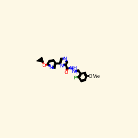 COc1ccc(F)c(/C=N/NC(=O)c2cncc(-c3ccc(OC4CC4)nc3)n2)c1